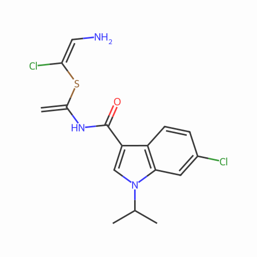 C=C(NC(=O)c1cn(C(C)C)c2cc(Cl)ccc12)S/C(Cl)=C\N